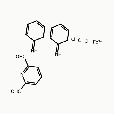 N=C1C=CC=CC1.N=C1C=CC=CC1.O=Cc1cccc(C=O)n1.[Cl-].[Cl-].[Cl-].[Fe+3]